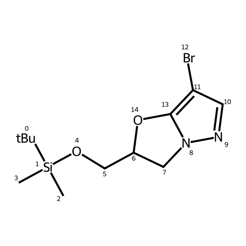 CC(C)(C)[Si](C)(C)OCC1Cn2ncc(Br)c2O1